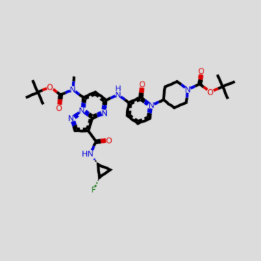 CN(C(=O)OC(C)(C)C)c1cc(Nc2cccn(C3CCN(C(=O)OC(C)(C)C)CC3)c2=O)nc2c(C(=O)N[C@@H]3C[C@@H]3F)cnn12